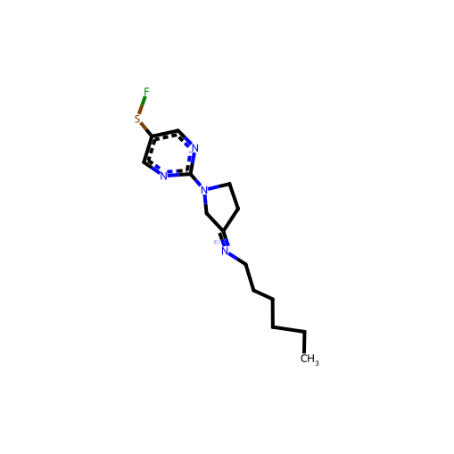 CCCCCC/N=C1\CCN(c2ncc(SF)cn2)C1